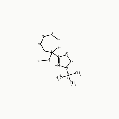 CC(C)(C)[C@H]1COC(C2(CI)CCCCCC2)=N1